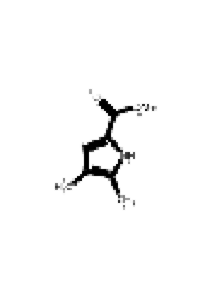 COC(=O)c1cc(C)c(C)[nH]1